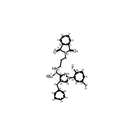 CC(C)(C)[C@@H](NCCCN1C(=O)c2ccccc2C1=O)c1nn(-c2cc(F)ccc2F)cc1Cc1ccccc1